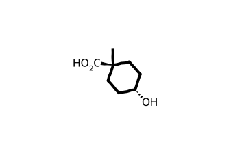 C[C@]1(C(=O)O)CC[C@H](O)CC1